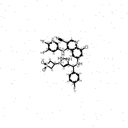 N#Cc1cnc2c(Cl)cc(NC(C3=CN(C4CS(=O)(=O)C4)NN3)c3ccc(F)cc3)cc2c1Nc1cnc(F)c(F)c1